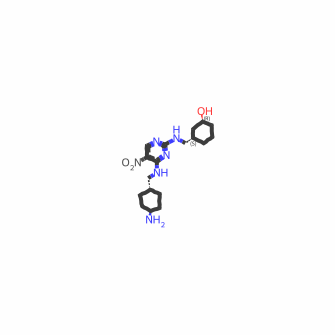 N[C@H]1CC[C@H](CNc2nc(NC[C@H]3CCC[C@@H](O)C3)ncc2[N+](=O)[O-])CC1